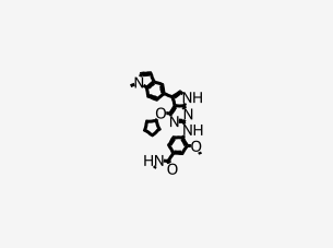 CNC(=O)c1ccc(Nc2nc(OC3CCCC3)c3c(-c4ccc5c(ccn5C)c4)c[nH]c3n2)c(OC)c1